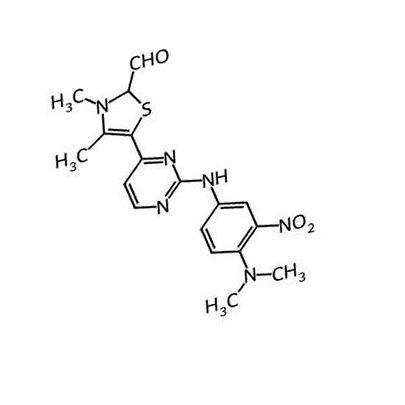 CC1=C(c2ccnc(Nc3ccc(N(C)C)c([N+](=O)[O-])c3)n2)SC(C=O)N1C